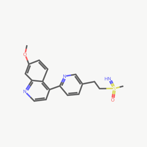 COc1ccc2c(-c3ccc(CCS(C)(=N)=O)cn3)ccnc2c1